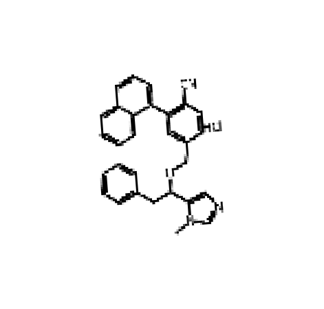 Cl.Cn1cncc1C(Cc1ccccc1)OCc1ccc(C#N)c(-c2cccc3ccccc23)c1